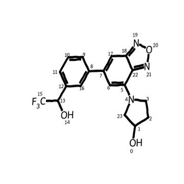 OC1CCN(c2cc(-c3cccc(C(O)C(F)(F)F)c3)cc3nonc23)C1